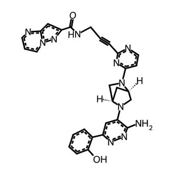 Nc1nnc(-c2ccccc2O)cc1N1C[C@H]2C[C@@H]1CN2c1ccnc(C#CCNC(=O)c2cc3ncccn3n2)n1